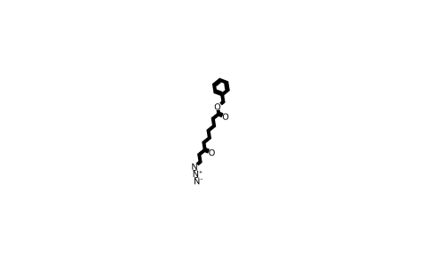 [N-]=[N+]=NCCC(=O)CCCCCC(=O)OCc1ccccc1